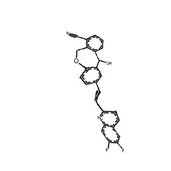 N#Cc1cccc2c1COc1ccc(C=Cc3ccc4cc(F)c(F)cc4n3)cc1C2O